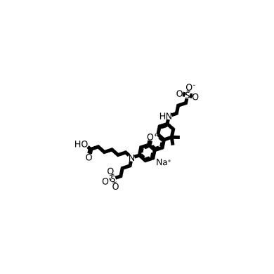 CC1(C)CC(NCCCS(=O)(=O)[O-])=Cc2[o+]c3cc(N(CCCCCC(=O)O)CCCS(=O)(=O)[O-])ccc3cc21.[Na+]